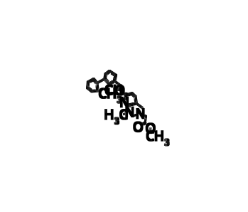 COC(=O)CN1Cc2ccc(OCc3cccc(-c4ccccc4C)c3C)nc2N(C)C1